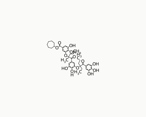 CCCC(C)(Oc1cc(C(=O)OC2CCCCCC2)cc(O)c1O)C(=O)c1cc(O)c(O)c(OC(CC)(CCC)C(=O)c2cc(O)c(O)c(O)c2)c1